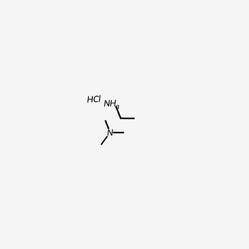 CCC.CN(C)C.Cl.N